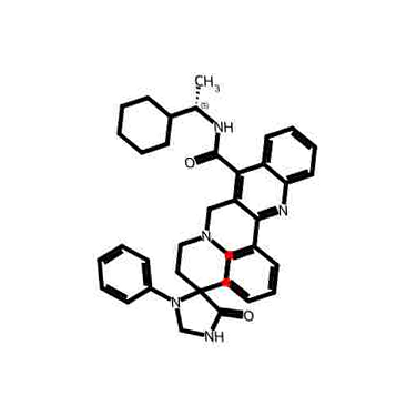 C[C@H](NC(=O)c1c(CN2CCC3(CC2)C(=O)NCN3c2ccccc2)c(-c2ccccc2)nc2ccccc12)C1CCCCC1